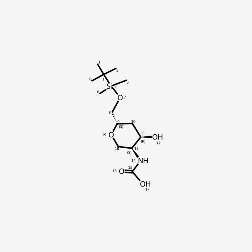 CC(C)(C)[Si](C)(C)OC[C@@H]1C[C@@H](O)[C@@H](NC(=O)O)CO1